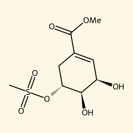 COC(=O)C1=C[C@@H](O)[C@@H](O)[C@H](OS(C)(=O)=O)C1